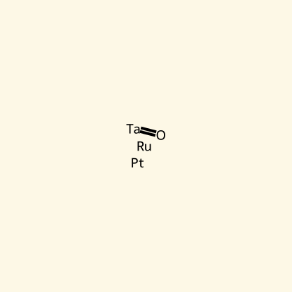 [O]=[Ta].[Pt].[Ru]